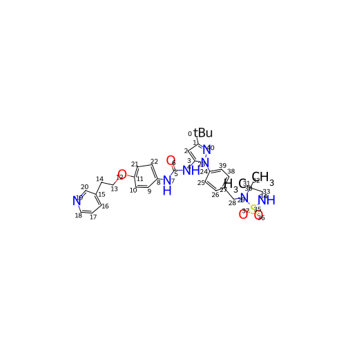 CC(C)(C)c1cc(NC(=O)Nc2ccc(OCCc3cccnc3)cc2)n(-c2ccc(CN3C(C)(C)CNS3(=O)=O)cc2)n1